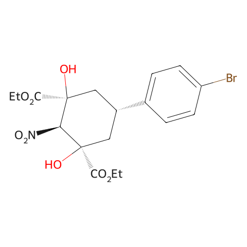 CCOC(=O)[C@]1(O)C[C@H](c2ccc(Br)cc2)C[C@](O)(C(=O)OCC)[C@H]1[N+](=O)[O-]